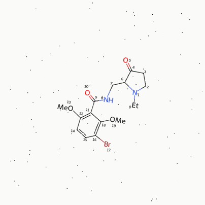 CCN1CCC(=O)C1CNC(=O)c1c(OC)ccc(Br)c1OC